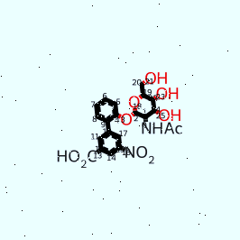 CC(=O)NC1C(Oc2ccccc2-c2cc(C(=O)O)cc([N+](=O)[O-])c2)OC(CO)C(O)C1O